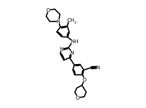 Cc1cc(Nc2nccc(-c3ccc(OC4CCOCC4)c(C#N)c3)n2)ccc1N1CCOCC1